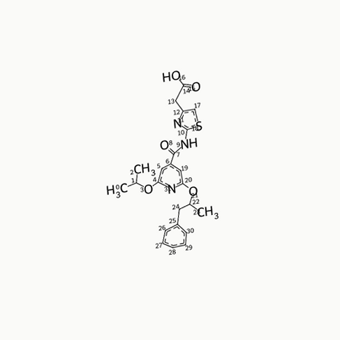 CC(C)Oc1cc(C(=O)Nc2nc(CC(=O)O)cs2)cc(OC(C)Cc2ccccc2)n1